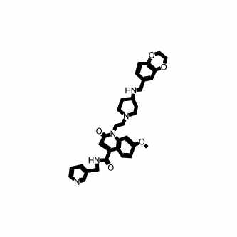 COc1ccc2c(C(=O)NCc3cccnc3)cc(=O)n(CCN3CCC(NCc4ccc5c(c4)OCCO5)CC3)c2c1